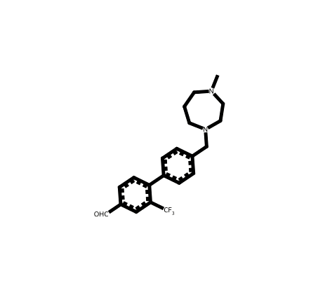 CN1CCCN(Cc2ccc(-c3ccc(C=O)cc3C(F)(F)F)cc2)CC1